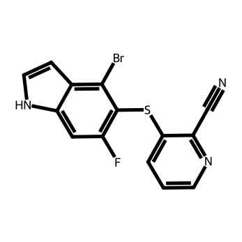 N#Cc1ncccc1Sc1c(F)cc2[nH]ccc2c1Br